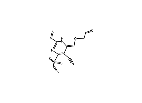 N#CC1=C(S(=S)(=S)C=S)N=C(N=S)NC1=COCC=S